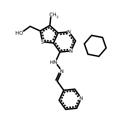 C1CCCCC1.Cc1c(CO)sc2c(NN=Cc3cccnc3)ncnc12